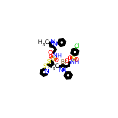 Cc1cc(CC(=O)NS(=O)(=O)c2ccc(Sc3ccccn3)s2)n(-c2ccccc2)n1.Cc1nn(-c2ccccc2)c(CC(=O)NS(=O)(=O)c2ccc(Cl)cc2)c1Br